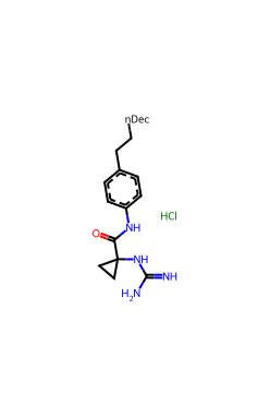 CCCCCCCCCCCCc1ccc(NC(=O)C2(NC(=N)N)CC2)cc1.Cl